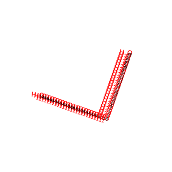 O.O.O.O.O.O.O.O.O.O.O.O.O.O.O.O.O.O.O.O.O.O.O.O.O.O.O.O.O.O.O.O.O.O.O.O.O.O.O.O.O.O.O.O.O.O.O.O.O.O.O